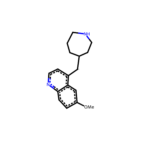 COc1ccc2nccc([CH]C3CCCNCC3)c2c1